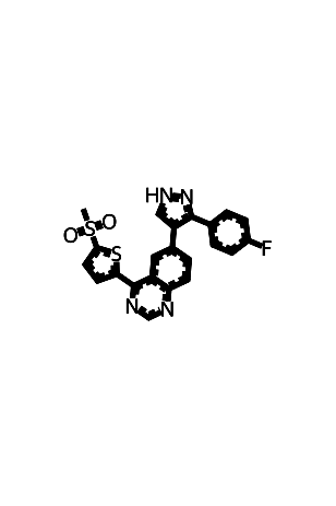 CS(=O)(=O)c1ccc(-c2ncnc3ccc(-c4c[nH]nc4-c4ccc(F)cc4)cc23)s1